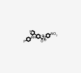 O=C(c1ccc(-c2ccncc2Nc2ccc(F)cc2)cc1)S(=O)(=O)c1ccc([N+](=O)[O-])cc1